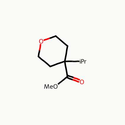 COC(=O)C1(C(C)C)CCOCC1